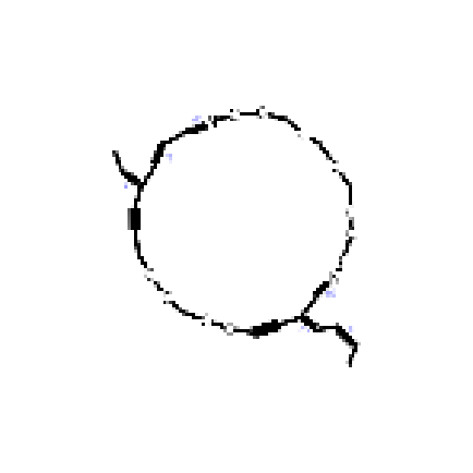 C\C=C/C=C1C#CCCCCCCC#CC(=C/C)/C=C\C=N\CCCCCCCCCC/N=C/1